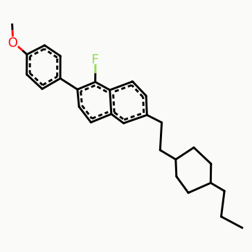 CCCC1CCC(CCc2ccc3c(F)c(-c4ccc(OC)cc4)ccc3c2)CC1